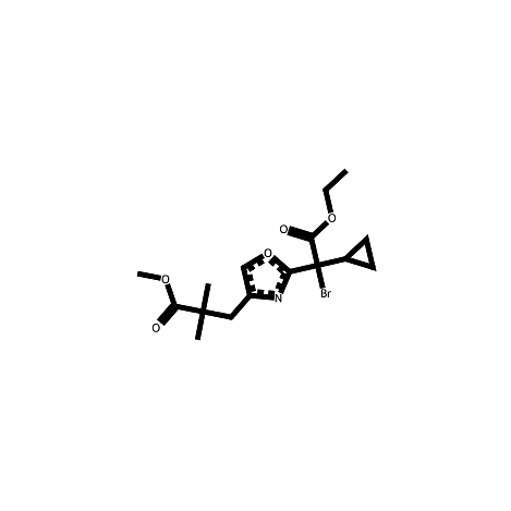 CCOC(=O)C(Br)(c1nc(CC(C)(C)C(=O)OC)co1)C1CC1